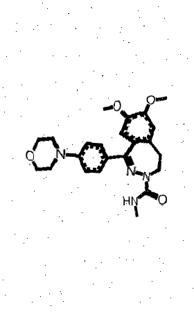 CNC(=O)N1CCc2cc(OC)c(OC)cc2C(c2ccc(N3CCOCC3)cc2)=N1